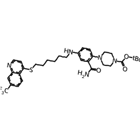 CC(C)(C)OC(=O)N1CCN(c2ccc(NCCCCCCSc3ccnc4cc(C(F)(F)F)ccc34)cc2C(N)=O)CC1